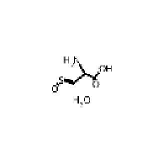 NC(C=S=O)C(=O)O.O